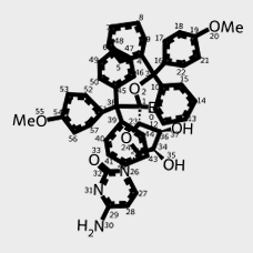 CCC(OC(c1ccccc1)(c1ccccc1)c1ccc(OC)cc1)([C@H]1O[C@@H](n2ccc(N)nc2=O)[C@H](O)[C@@H]1O)C(c1ccccc1)(c1ccccc1)c1ccc(OC)cc1